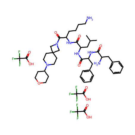 CC(C)CC(NC(=O)C(Cc1ccccc1)NC(=O)C(N)Cc1ccccc1)C(=O)NC(CCCCN)C(=O)N1CC2(CCN(C3CCOCC3)CC2)C1.O=C(O)C(F)(F)F.O=C(O)C(F)(F)F.O=C(O)C(F)(F)F